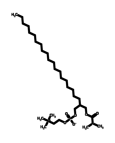 CCCCCCCCCCCCCCCCCCCCC(COC(=O)N(C)C)COP(=O)([O-])OCC[N+](C)(C)C